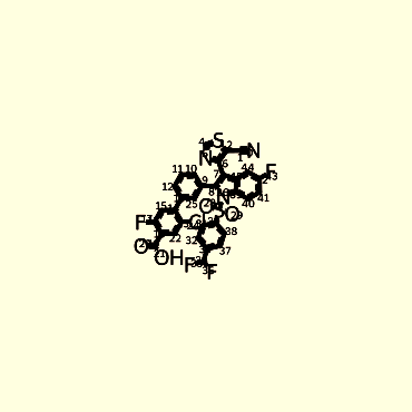 N#Cc1scnc1-c1c(-c2cccc(-c3cc(F)c(C(=O)O)cc3Cl)c2)n(S(=O)(=O)c2ccc(C(F)F)cc2)c2ccc(F)cc12